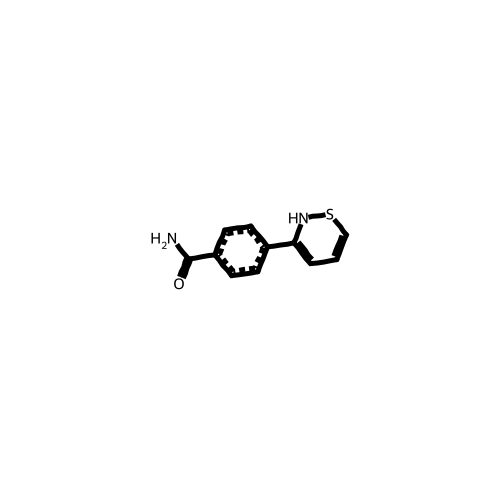 NC(=O)c1ccc(C2=CC=CSN2)cc1